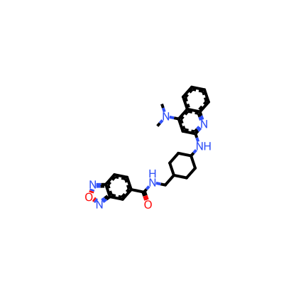 CN(C)c1cc(NC2CCC(CNC(=O)c3ccc4nonc4c3)CC2)nc2ccccc12